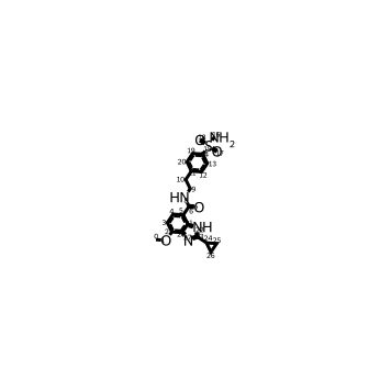 COc1ccc(C(=O)NCCc2ccc(S(N)(=O)=O)cc2)c2[nH]c(C3CC3)nc12